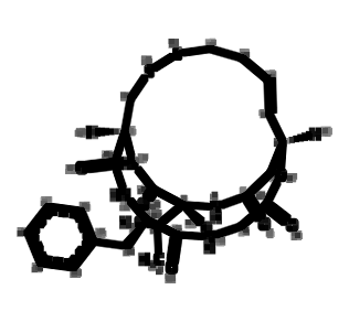 CC(C)[C@H]1NC(=O)C[C@H]2/C=C/CCSSC[C@@H](NC1=O)C(=O)N[C@H](Cc1ccccc1)C(=O)NCC(=O)O2